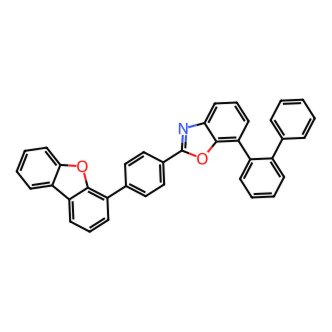 c1ccc(-c2ccccc2-c2cccc3nc(-c4ccc(-c5cccc6c5oc5ccccc56)cc4)oc23)cc1